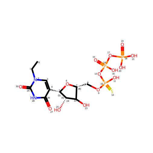 CCn1cc([C@@H]2O[C@H](COP(O)(=S)OP(=O)(O)OP(=O)(O)O)C(O)[C@@H]2O)c(=O)[nH]c1=O